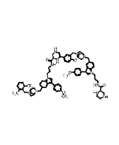 O=C(NCCCn1cc(-c2ccc(OC(F)(F)F)cc2)c2cc(CN3CC4CC3CN4Cc3cc(C4CNCC(C(=O)NCCCn5cc(-c6ccc(OC(F)(F)F)cc6)c6cc(CN7CC8CC7CN8Cc7c(C(F)(F)F)cccc7C(F)(F)F)ccc65)N4)ccc3Cl)ccc21)C1CNCCN1